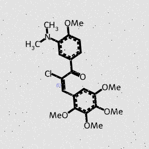 COc1ccc(C(=O)/C(Cl)=C\c2cc(OC)c(OC)c(OC)c2OC)cc1N(C)C